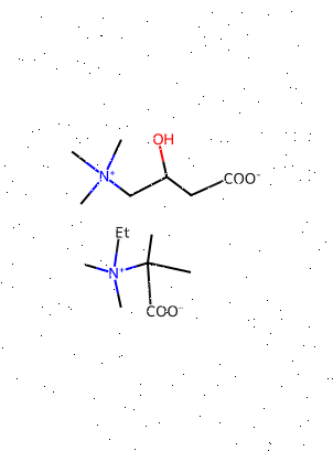 CC[N+](C)(C)C(C)(C)C(=O)[O-].C[N+](C)(C)CC(O)CC(=O)[O-]